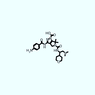 CN(C)CC(NC(=O)N1Cc2c(NC(=O)c3ccc(N)cc3)nn(C(=O)O)c2C1(C)C)C1CCOCC1